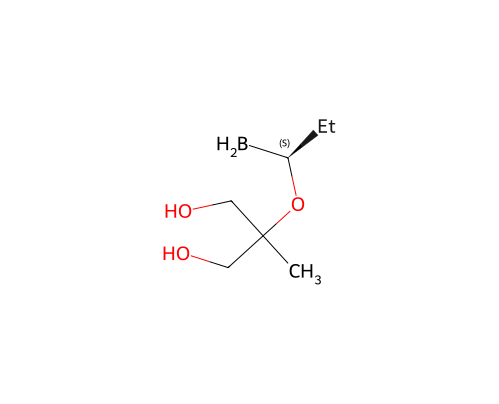 B[C@@H](CC)OC(C)(CO)CO